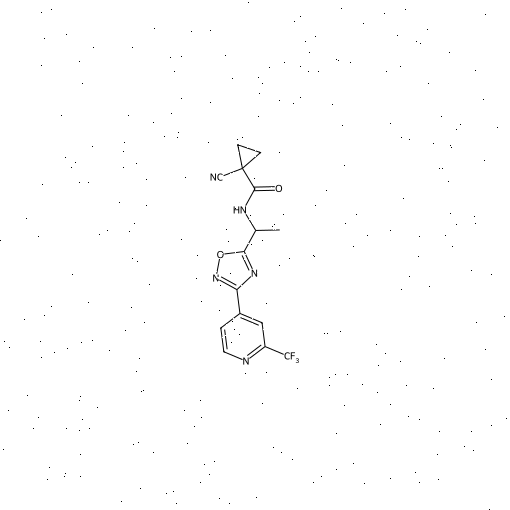 CC(NC(=O)C1(C#N)CC1)c1nc(-c2ccnc(C(F)(F)F)c2)no1